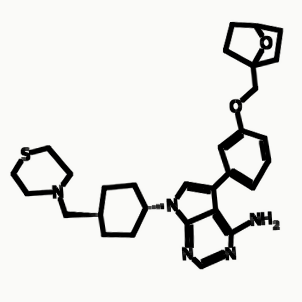 Nc1ncnc2c1c(-c1cccc(OCC34CCC(CC3)O4)c1)cn2[C@H]1CC[C@H](CN2CCSCC2)CC1